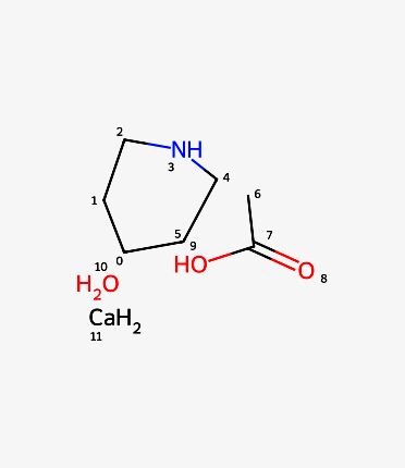 C1CCNCC1.CC(=O)O.O.[CaH2]